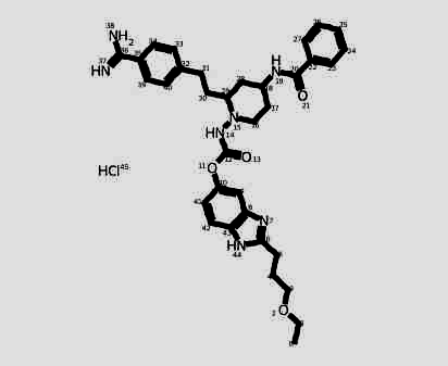 CCOCCCc1nc2cc(OC(=O)NN3CCC(NC(=O)c4ccccc4)CC3CCc3ccc(C(=N)N)cc3)ccc2[nH]1.Cl